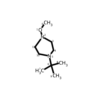 CON1CCN(C(C)(C)C)CC1